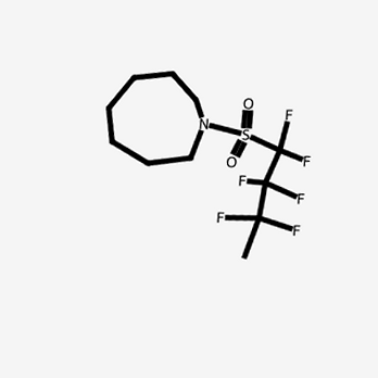 CC(F)(F)C(F)(F)C(F)(F)S(=O)(=O)N1CCCCCCC1